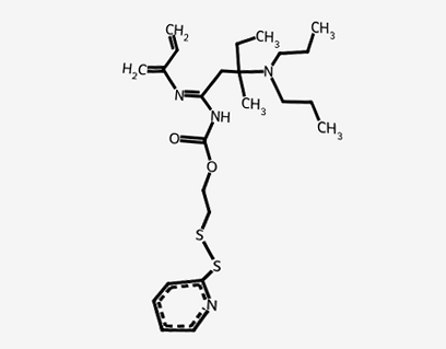 C=CC(=C)/N=C(\CC(C)(CC)N(CCC)CCC)NC(=O)OCCSSc1ccccn1